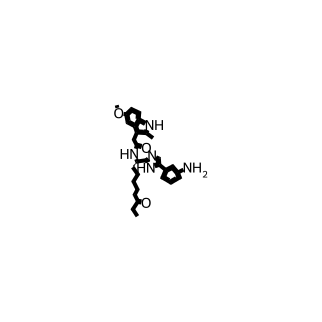 CCC(=O)CCCCC[C@H](NC(=O)Cc1c(C)[nH]c2ccc(OC)cc12)c1ncc(-c2cccc(N)c2)[nH]1